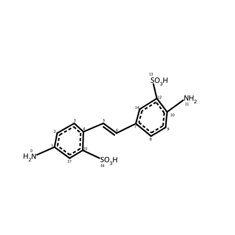 Nc1ccc(/C=C/c2ccc(N)c(S(=O)(=O)O)c2)c(S(=O)(=O)O)c1